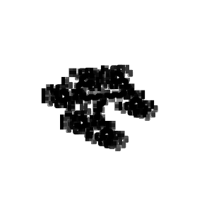 CN1C(C)(C)CC(Cc2nc(CCCCN(CCCCc3nc(CC4CC(C)(C)N(C)C(C)(C)C4)nc(NC4CC(C)(C)N(C)C(C)(C)C4)n3)CCCNc3nc(NC4CC(C)(C)N(C)C(C)(C)C4)nc(NC4CC(C)(C)N(C)C(C)(C)C4)n3)nc(NC3CC(C)(C)N(C)C(C)(C)C3)n2)CC1(C)C